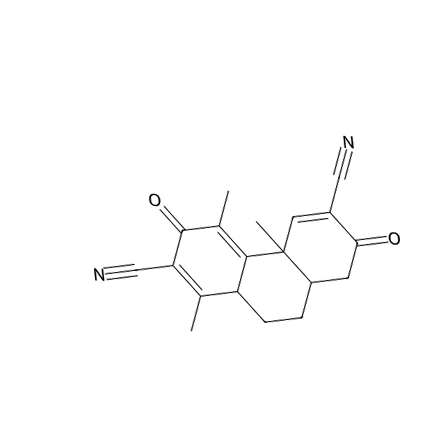 CC1=C2C(CCC3CC(=O)C(C#N)=CC23C)C(C)=C(C#N)C1=O